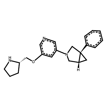 c1ccc([C@@]23C[C@@H]2CN(c2cncc(OC[C@@H]4CCCN4)c2)C3)cc1